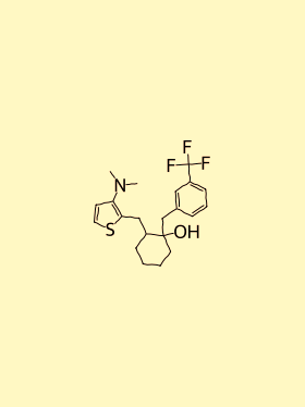 CN(C)c1ccsc1CC1CCCCC1(O)Cc1cccc(C(F)(F)F)c1